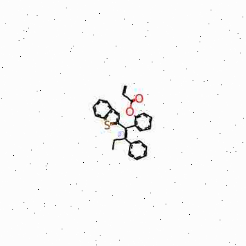 C=CC(=O)Oc1ccccc1/C(=C(/CC)c1ccccc1)c1cc2ccccc2s1